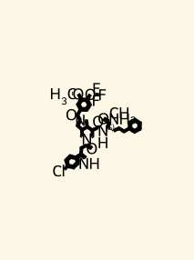 CNC(=O)[C@H](CCCc1ccccc1)NC(=O)C1CN(C(=O)Cc2c[nH]c3cc(Cl)ccc23)CC2CN(C(=O)c3ccc(OC(F)(F)F)c(OC)c3)CC21